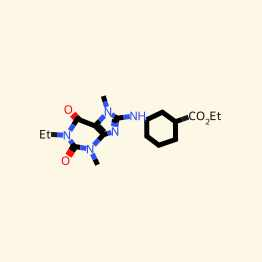 CCOC(=O)C1CCCC(Nc2nc3c(c(=O)n(CC)c(=O)n3C)n2C)C1